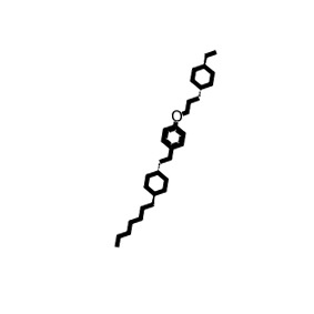 CCCCCCC[C@H]1CC[C@H](CCc2ccc(OCCC[C@H]3CC[C@H](CC)CC3)cc2)CC1